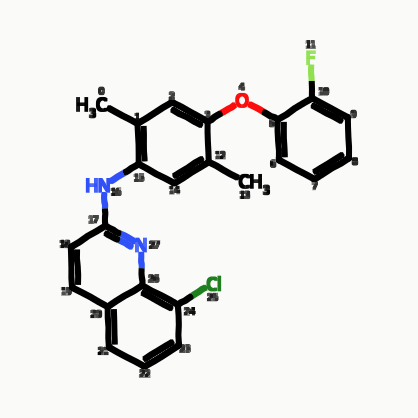 Cc1cc(Oc2ccccc2F)c(C)cc1Nc1ccc2cccc(Cl)c2n1